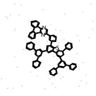 C1=C(c2cc(-c3ccccc3)cc(-c3ccccc3)c2)CC(c2ccccc2)c2sc3c(-c4cccc(-c5cnc6c7ccccc7c7ccccc7c6n5)c4)cc(-c4cc(-c5ccccc5)cc(-c5ccccc5)c4)cc3c21